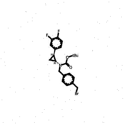 CC(C)(C)OC(=O)N(Cc1ccc(CBr)cc1)[C@@H]1C[C@H]1c1ccc(F)c(F)c1